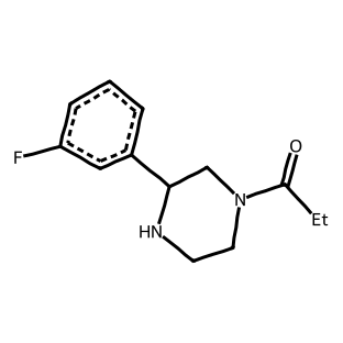 CCC(=O)N1CCNC(c2cccc(F)c2)C1